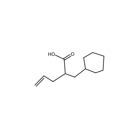 C=CCC(CC1CCCCC1)C(=O)O